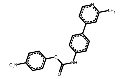 Cc1cc(-c2ccc(NC(=O)Oc3ccc([N+](=O)[O-])cc3)cc2)ccn1